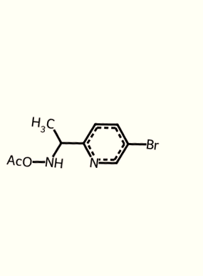 CC(=O)ONC(C)c1ccc(Br)cn1